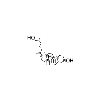 CC(CO)CCC[C@@H](C)[C@H]1CC[C@H]2[C@@H]3CCC4C[C@H](O)CC[C@]4(C)[C@H]3CC[C@]12C